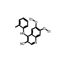 CCOc1cc2ncc(C#N)c(Nc3ccccc3C)c2cc1OCC